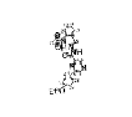 CCOc1ccc(-c2cncc(C(=O)NN=Cc3ccccc3NS(C)(=O)=O)n2)cc1